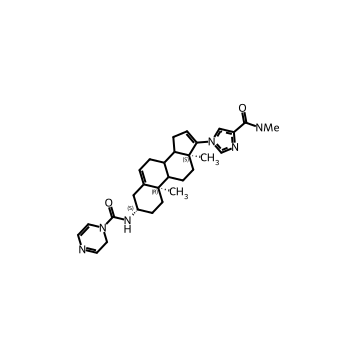 CNC(=O)c1cn(C2=CCC3C4CC=C5C[C@@H](NC(=O)N6C=CN=CC6)CC[C@]5(C)C4CC[C@]23C)cn1